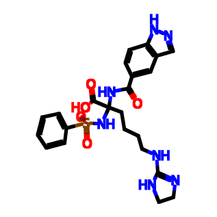 O=C(NC(CCCCNC1=NCCN1)(NS(=O)(=O)c1ccccc1)C(=O)O)c1ccc2[nH]ncc2c1